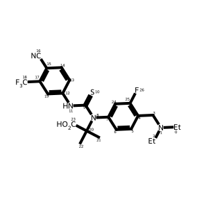 CCN(CC)Cc1ccc(N(C(=S)Nc2ccc(C#N)c(C(F)(F)F)c2)C(C)(C)C(=O)O)cc1F